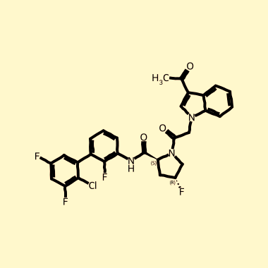 CC(=O)c1cn(CC(=O)N2C[C@H](F)C[C@H]2C(=O)Nc2cccc(-c3cc(F)cc(F)c3Cl)c2F)c2ccccc12